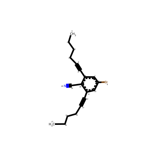 CCCCC#Cc1cc(Br)cc(C#CCCCC)c1C#N